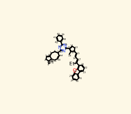 C=C1CC=C2CCC(c3nc(C4=CCC(C=C/C=C(\CC)c5cccc6c5oc5ccccc56)C4C)nc(-c4ccccc4)n3)/C=C\C[C@@H]12